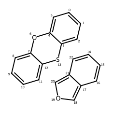 c1ccc2c(c1)Oc1ccccc1S2.c1ccc2cocc2c1